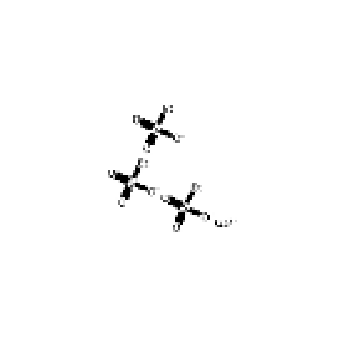 CCS(=O)(=O)[O-].CCS(=O)(=O)[O-].CCS(=O)(=O)[O-].[Ga+3]